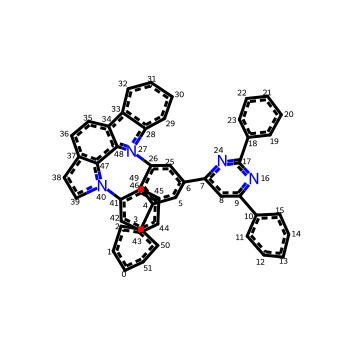 c1ccc(-c2cc(-c3cc(-c4ccccc4)nc(-c4ccccc4)n3)cc(-n3c4ccccc4c4ccc5ccn(-c6ccccc6)c5c43)c2)cc1